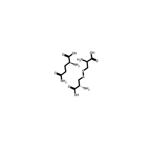 NC(=O)CC[C@H](N)C(=O)O.NC(CSSC[C@H](N)C(=O)O)C(=O)O